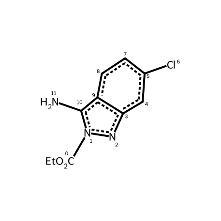 CCOC(=O)n1nc2cc(Cl)ccc2c1N